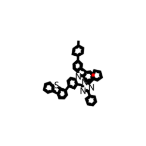 Cc1ccc(-c2ccc3c(c2)c2ccccc2n3-c2ccc(-c3cccc4c3sc3ccccc34)cc2-c2nc(-c3ccccc3)nc(-c3ccccc3)n2)cc1